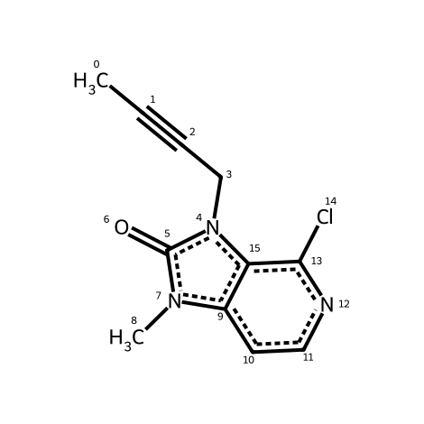 CC#CCn1c(=O)n(C)c2ccnc(Cl)c21